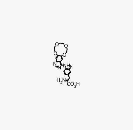 N[C@@H](Cc1ccc(Nc2ncnc3cc4c(cc23)OCCOCCOCCO4)c(F)c1)C(=O)O